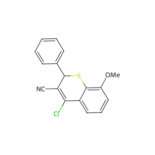 COc1cccc2c1SC(c1ccccc1)C(C#N)=C2Cl